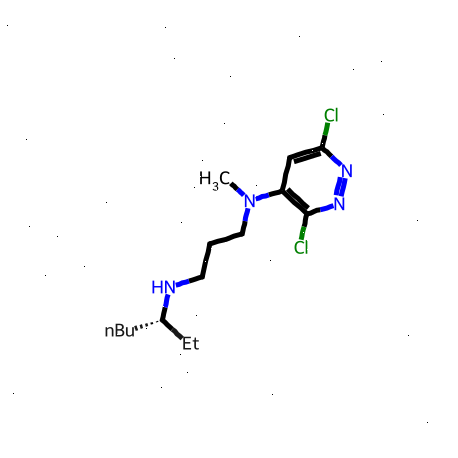 CCCC[C@@H](CC)NCCCN(C)c1cc(Cl)nnc1Cl